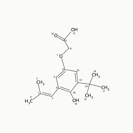 CC(C)=Cc1cc(OCC(=O)O)cc(C(C)(C)C)c1O